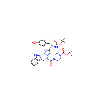 CC(C)(C)OC(=O)N[C@@H](Cc1ccc(O)cc1)c1cn([C@@H](Cc2c[nH]c3ccccc23)C(=O)N2CCN(C(=O)OC(C)(C)C)CC2)nn1